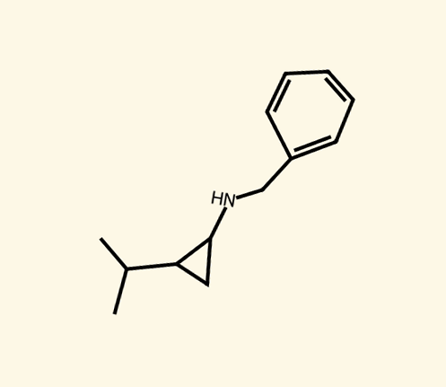 CC(C)C1CC1NCc1ccccc1